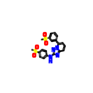 CS(=O)(=O)c1ccc(Nc2nc3cccc(-c4cccc(S(C)(=O)=O)c4)n3n2)cc1